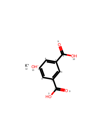 O=C(O)c1cccc(C(=O)O)c1.[K+].[OH-]